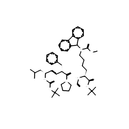 COC(=O)N(CCCC[C@H](NC(=O)[C@@H]1CCCN1C(=O)[C@H](/C=C/[C@H](CC(C)C)NC(=O)OC(C)(C)C)Cc1ccccc1)C(=O)NC(C)(C)C)C1c2ccccc2-c2ccccc21